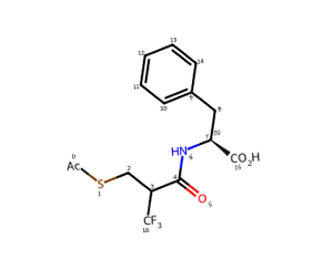 CC(=O)SCC(C(=O)N[C@@H](Cc1ccccc1)C(=O)O)C(F)(F)F